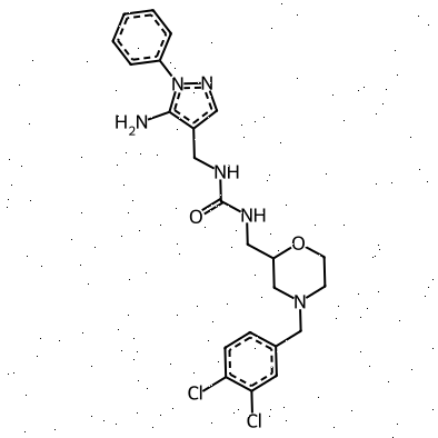 Nc1c(CNC(=O)NCC2CN(Cc3ccc(Cl)c(Cl)c3)CCO2)cnn1-c1ccccc1